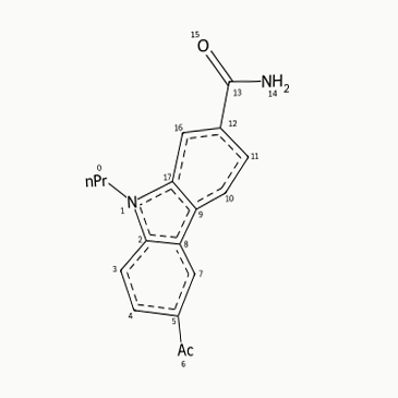 CCCn1c2ccc(C(C)=O)cc2c2ccc(C(N)=O)cc21